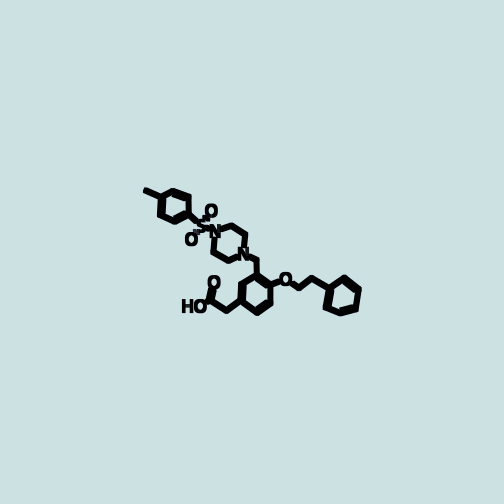 Cc1ccc(S(=O)(=O)N2CCN(Cc3cc(CC(=O)O)ccc3OCCc3ccccc3)CC2)cc1